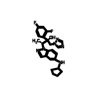 C[C@@H](n1ncc2cc(NC3CCCC3)ccc21)[C@](O)(Cn1cncn1)c1ccc(F)cc1F